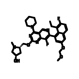 CCc1c(F)ccc2cc(OCOC)cc(-c3ncc4c(N5CCCCC5)nc(OC[C@@H]5C[C@@H](O)CN5C)nc4c3F)c12